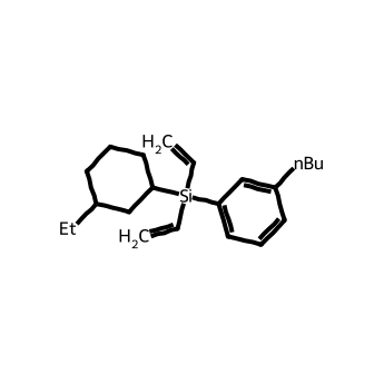 C=C[Si](C=C)(c1cccc(CCCC)c1)C1CCCC(CC)C1